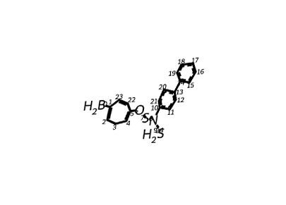 BC1=CCC=C(OSN(C)c2ccc(-c3ccccc3)cc2)C=C1.S